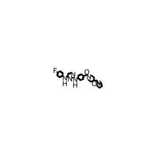 O=C(c1ccc(Nc2nccc(Nc3ccc(F)cc3)n2)cc1)N1CCC(O)(CN2CCCC2)CC1